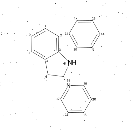 c1ccc2c(c1)CCN2.c1ccccc1.c1ccncc1